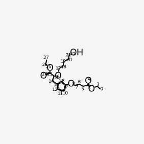 CCOC(=O)CCCOc1cccc(CC(OCCCCCO)C(=O)OCC)c1